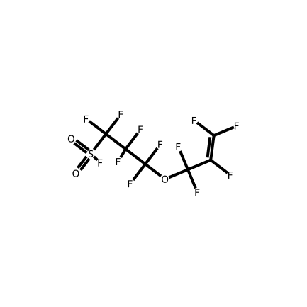 O=S(=O)(F)C(F)(F)C(F)(F)C(F)(F)OC(F)(F)C(F)=C(F)F